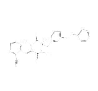 CN1C(=O)C(C)(Cc2cccc(OCc3ccccc3)c2)N(C)C(=O)/C1=C/c1cccnc1C#N